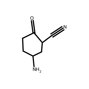 N#CC1CC(N)CCC1=O